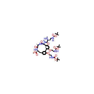 CN[C@@H](CCNC(=O)OC(C)(C)C)C(=O)N(C)[C@@H]1C(=O)N[C@@H](C)C(=O)N[C@H](C(=O)OC)Cc2ccc(OCCNC(=O)OC(C)(C)C)c(c2)-c2cc1ccc2OCCNC(=O)OC(C)(C)C